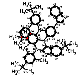 Cc1cc(C(C)(C)C)cc(C)c1N1c2cc(C(C)(C)C)cc3c2B(c2ccc(-c4csc5ccccc45)cc2N3c2ccc(C(C)(C)C)cc2-c2ccccc2)c2c1sc1ccc(C(C)(C)C)cc21